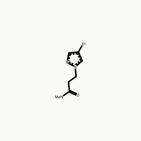 CCc1cnn(CCC(=O)NC)c1